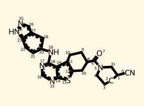 N#CC1CCCN(C(=O)C2CCc3c(sc4ncnc(Nc5ccc6[nH]ncc6c5)c34)C2)C1